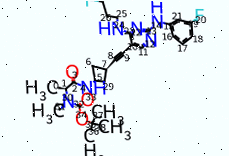 C[C@@H](C(=O)N[C@H]1C[C@@H](C#Cc2cnc(Nc3cccc(F)c3)nc2NCCCF)C1)N(C)C(=O)OC(C)(C)C